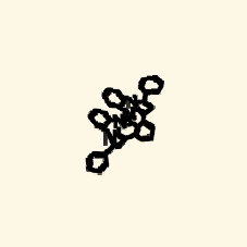 c1ccc(-c2cc3c4n(c5ccccc5n24)B2c4c-3cccc4-c3cc(-c4ccccc4)n4c5ccccc5n2c34)cc1